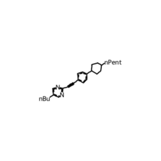 CCCCCC1CCC(c2ccc(C#Cc3ncc(CCCC)cn3)cc2)CC1